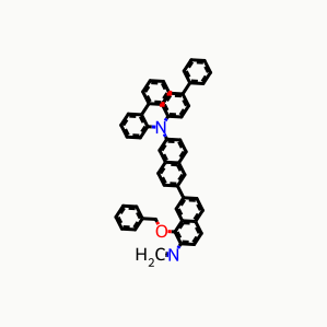 C=Nc1ccc2ccc(-c3ccc4cc(N(c5ccc(-c6ccccc6)cc5)c5ccccc5-c5ccccc5)ccc4c3)cc2c1OCc1ccccc1